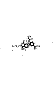 Cc1n[n+](C(=O)O)c(N)c2ccc(-c3cc(B(O)O)ccc3NC(=O)CC(C)C)cc12